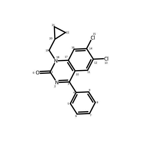 O=c1nc(-c2ccccc2)c2cc(Cl)c(Cl)cc2n1CC1CC1